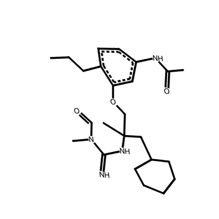 CCCc1ccc(NC(C)=O)cc1OCC(C)(CC1CCCCC1)NC(=N)N(C)C=O